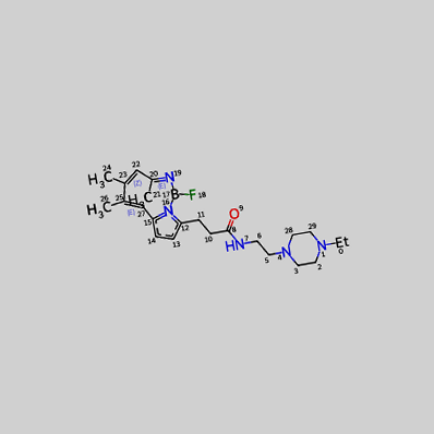 CCN1CCN(CCNC(=O)CCc2ccc3n2B(F)/N=C(C)/C=C(C)\C(C)=C\3)CC1